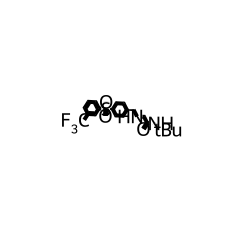 CC(C)(C)NC(=O)CNC[C@H]1CC[C@@H](S(=O)(=O)c2cccc(C(F)(F)F)c2)CC1